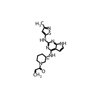 C=CC(=O)N1CCC[C@@H](Nc2nc(Nc3cc(C)ns3)nc3[nH]ccc23)C1